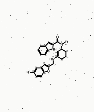 CCN(C(=O)c1cc2ccccc2[nH]1)[C@@H]1C=C(NCc2cc3cc(F)ccc3o2)CCC1